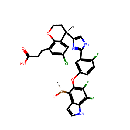 C[S@@+]([O-])c1c(Oc2ccc(F)c(-c3nc([C@]4(C)CCOc5c(CCC(=O)O)cc(Cl)cc54)c[nH]3)c2)c(F)c(F)c2[nH]ccc12